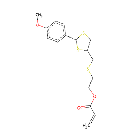 C=CC(=O)OCCSCC1CSC(c2ccc(OC)cc2)S1